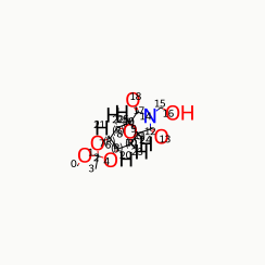 COC1(C)O[C@H]2[C@H](O1)[C@@H]1O[C@@H]2[C@H]2C(=O)N(CO)C(=O)[C@@H]12